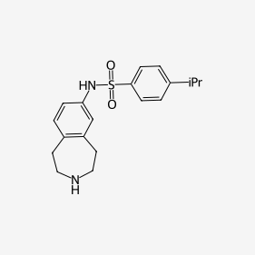 CC(C)c1ccc(S(=O)(=O)Nc2ccc3c(c2)CCNCC3)cc1